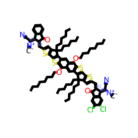 [C-]#[N+]/C(C#N)=C1\C(=C\c2cc3c(s2)-c2sc4c(OCCCCCCCC)c5cc6c7c(sc6c(OCCCCCCCC)c5cc4c2C3(CCCCCC)CCCCCC)-c2sc(/C=C3\C(=O)c4cc(Cl)c(Cl)cc4\C3=C(\C#N)[N+]#[C-])cc2C7(CCCCCC)CCCCCC)C(=O)c2ccccc21